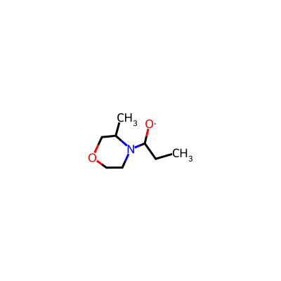 CCC([O])N1CCOCC1C